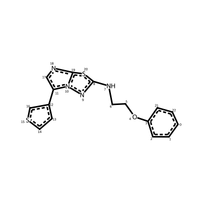 c1ccc(OCCNc2nn3c(-c4ccsc4)cnc3s2)cc1